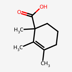 CC1=C(C)C(C)(C(=O)O)CCC1